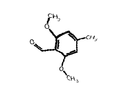 COc1cc(C)cc(OC)c1C=O